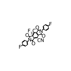 N#Cc1c2c(=O)n(-c3ccc(F)cc3)c(=O)c2c(C(F)(F)F)c2c(=O)n(-c3ccc(F)cc3)c(=O)c12